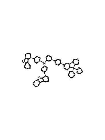 c1ccc(C2(c3ccccc3)c3ccccc3-c3cc(-c4ccc(-c5cccc(N(c6ccc(-c7cccc8c7sc7ccccc78)cc6)c6ccc(-c7cccc8oc9ccccc9c78)cc6)c5)cc4)ccc32)cc1